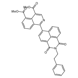 COC(=O)c1cccc2c(-c3ccc4c5c(cccc35)C(=O)N(CCc3ccccc3)C4=O)ncc(C(=O)OC)c12